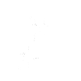 O=C1CCc2cccc(OCCCNC3CCCCC3O)c2N1